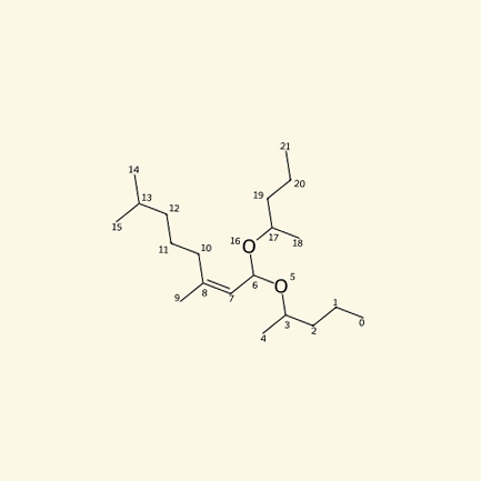 CCCC(C)OC(C=C(C)CCCC(C)C)OC(C)CCC